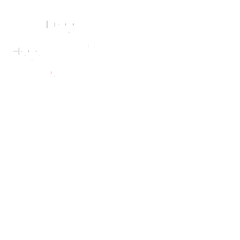 CCOC(=O)OC(=CC=CC(C)=CC=Cc1ccccc1)OC(=O)O